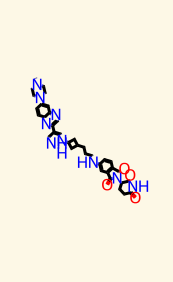 CN1CCN(c2ccc3nc(/C(C=N)=C/NC4CC(CCCNc5ccc6c(c5)C(=O)N(C5CCC(=O)NC5=O)C6=O)C4)cnc3c2)CC1